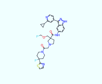 O=C(CN1CCC(COCF)(C(=O)Nc2ccc3[nH]nc(-c4ccnc(C5CC5)c4)c3c2)C1)N1CCC(F)(c2nccs2)CC1